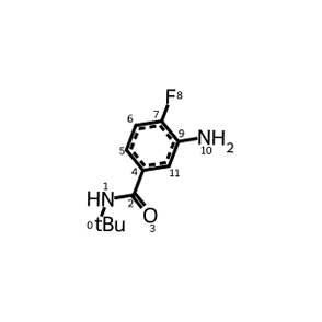 CC(C)(C)NC(=O)c1ccc(F)c(N)c1